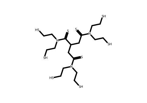 S=C(CC(CC(=S)N(CCS)CCS)C(=S)N(CCS)CCS)N(CCS)CCS